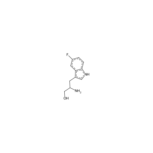 NC(CO)Cc1c[nH]c2ccc(F)cc12